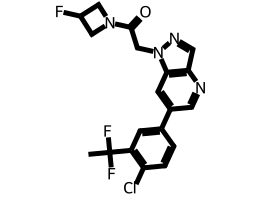 CC(F)(F)c1cc(-c2cnc3cnn(CC(=O)N4CC(F)C4)c3c2)ccc1Cl